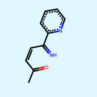 CC(=O)/C=C\C(=N)c1ccccn1